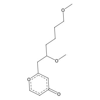 COCCCCC(Cc1cc(=O)cco1)OC